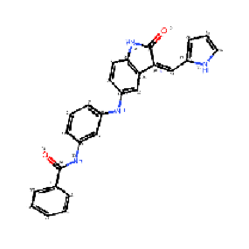 O=C1Nc2ccc(Nc3cccc(NC(=O)c4ccccc4)c3)cc2/C1=C/c1ccc[nH]1